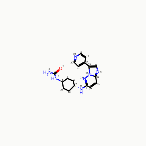 NC(=O)N[C@H]1CC[C@H](Nc2ccc3ncc(-c4ccncc4)n3n2)CC1